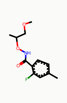 COCC(C)ONC(=O)c1ccc(C)cc1F